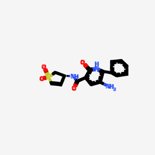 Nc1cc(C(=O)N[C@@H]2C=CS(=O)(=O)C2)c(=O)[nH]c1-c1ccccc1